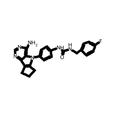 Nc1ncnc2c3c(n(-c4ccc(NC(=O)NCc5ccc(F)cc5)cc4)c12)CCC3